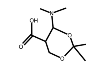 CN(C)C1OC(C)(C)OCC1C(=O)O